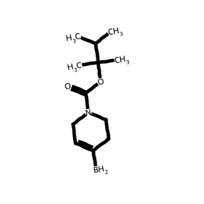 BC1=CCN(C(=O)OC(C)(C)C(C)C)CC1